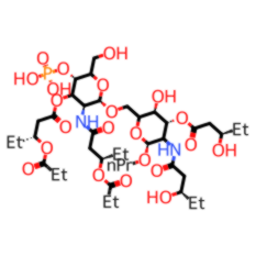 CCCO[C@H]1OC(CO[C@@H]2OC(CO)[C@@H](OP(=O)(O)O)C(OC(=O)C[C@@H](CC)OC(=O)CC)[C@@H]2NC(=O)C[C@@H](CC)OC(=O)CC)[C@@H](O)[C@H](OC(=O)C[C@H](O)CC)C1NC(=O)C[C@H](O)CC